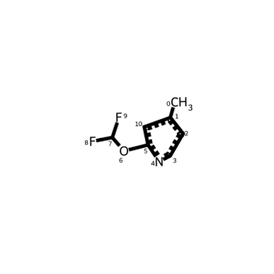 Cc1[c]cnc(OC(F)F)c1